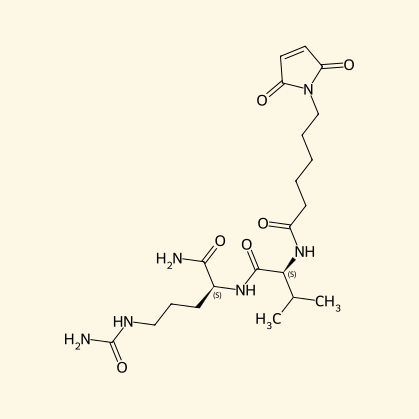 CC(C)[C@H](NC(=O)CCCCCN1C(=O)C=CC1=O)C(=O)N[C@@H](CCCNC(N)=O)C(N)=O